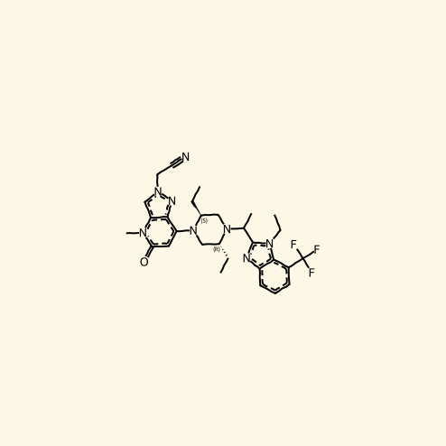 CC[C@H]1CN(C(C)c2nc3cccc(C(F)(F)F)c3n2CC)[C@H](CC)CN1c1cc(=O)n(C)c2cn(CC#N)nc12